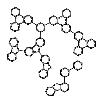 c1cc(-c2cccc(-c3cccc4c3sc3ccccc34)c2)cc(-c2cc3c4ccccc4c4ccc(-c5ccc6c7cc(-c8cc(-c9ccc%10c%11ccccc%11c%11nccnc%11c%10c9)cc(-c9ccc%10c(c9)c9cc(-n%11c%12ccccc%12c%12ccccc%12%11)ccc9n%10-c9ccc%10sc%11ccccc%11c%10c9)c8)ccc7c7ccccc7c6c5)cc4c3cn2)c1